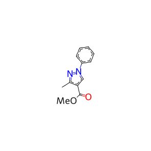 COC(=O)c1cn(-c2ccccc2)nc1C